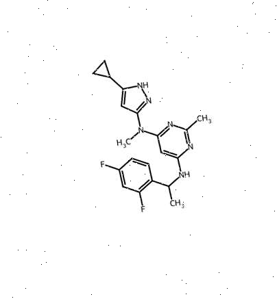 Cc1nc(NC(C)c2ccc(F)cc2F)cc(N(C)c2cc(C3CC3)[nH]n2)n1